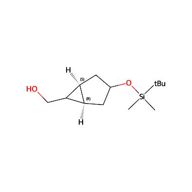 CC(C)(C)[Si](C)(C)OC1C[C@@H]2C(CO)[C@@H]2C1